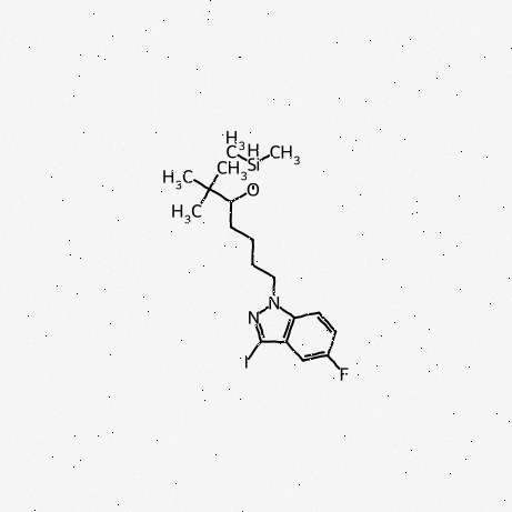 C[SiH](C)OC(CCCCn1nc(I)c2cc(F)ccc21)C(C)(C)C